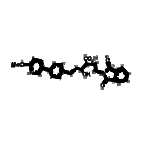 COc1ccc(-c2ccc(CC[C@H](O)[C@H](CCN3C(=O)c4ccccc4C3=O)C(=O)O)cc2)cn1